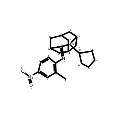 Cc1cc([N+](=O)[O-])ccc1N=C1C2CC3CC(C2)CC(C3)N1C1CCCC1